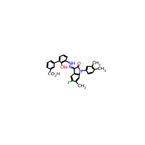 Cc1ccc(N2C(=O)C(=NNc3cccc(-c4cccc(C(=O)O)c4)c3O)c3cc(F)c(C)cc32)cc1C